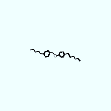 C=CCCC=Cc1ccc(OCc2ccc(CCCCC)cc2)cc1